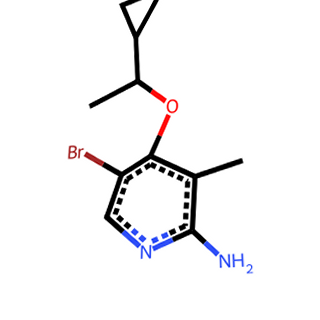 Cc1c(N)ncc(Br)c1OC(C)C1CC1